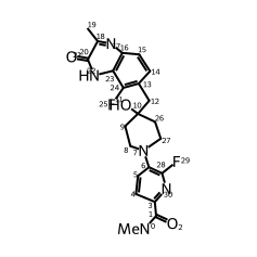 CNC(=O)c1ccc(N2CCC(O)(Cc3ccc4nc(C)c(=O)[nH]c4c3F)CC2)c(F)n1